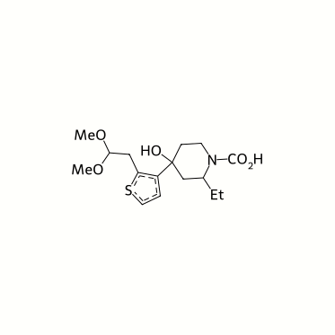 CCC1CC(O)(c2ccsc2CC(OC)OC)CCN1C(=O)O